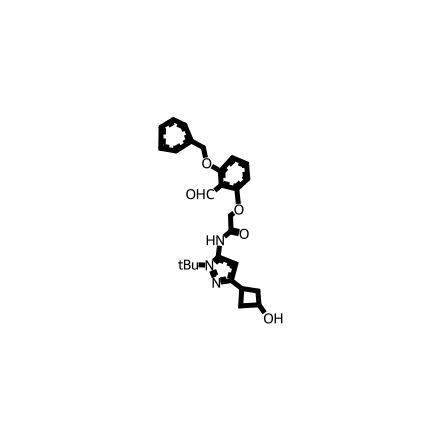 CC(C)(C)n1nc(C2CC(O)C2)cc1NC(=O)COc1cccc(OCc2ccccc2)c1C=O